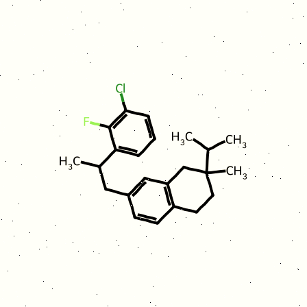 CC(Cc1ccc2c(c1)CC(C)(C(C)C)CC2)c1cccc(Cl)c1F